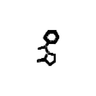 CN(c1ccccc1)N1CCCC1=O